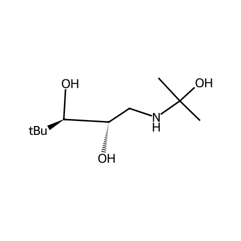 CC(C)(O)NC[C@H](O)[C@H](O)C(C)(C)C